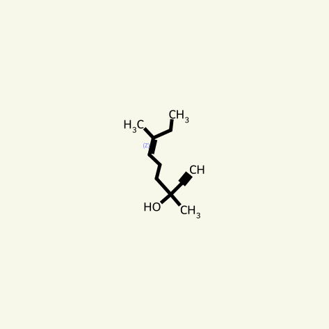 C#CC(C)(O)CC/C=C(/C)CC